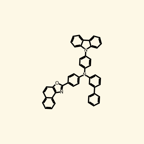 c1ccc(-c2cccc(N(c3ccc(-c4nc5c(ccc6ccccc65)o4)cc3)c3ccc(-n4c5ccccc5c5ccccc54)cc3)c2)cc1